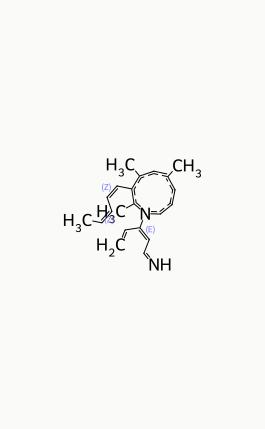 C=C/C(=C\C=N)n1cccc(C)cc(C)c(/C=C\C=C/C)c1C